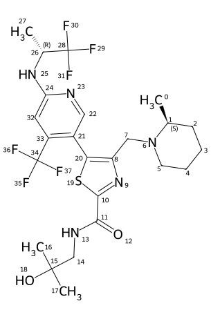 C[C@H]1CCCCN1Cc1nc(C(=O)NCC(C)(C)O)sc1-c1cnc(N[C@H](C)C(F)(F)F)cc1C(F)(F)F